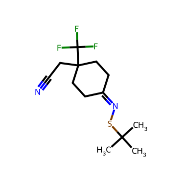 CC(C)(C)SN=C1CCC(CC#N)(C(F)(F)F)CC1